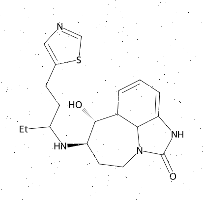 CCC(CCc1cncs1)N[C@@H]1CCN2C(=O)NC3=CC=CC(C32)[C@H]1O